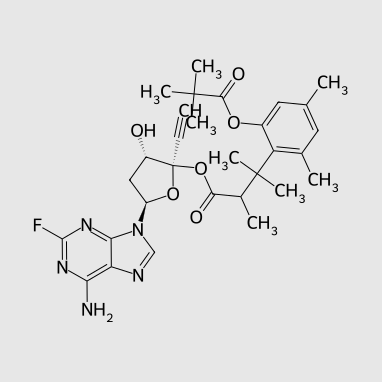 C#C[C@]1(OC(=O)C(C)C(C)(C)c2c(C)cc(C)cc2OC(=O)C(C)(C)C)O[C@@H](n2cnc3c(N)nc(F)nc32)C[C@@H]1O